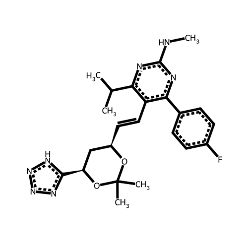 CNc1nc(-c2ccc(F)cc2)c(/C=C/[C@@H]2C[C@H](c3nnn[nH]3)OC(C)(C)O2)c(C(C)C)n1